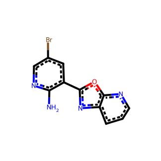 Nc1ncc(Br)cc1-c1nc2cccnc2o1